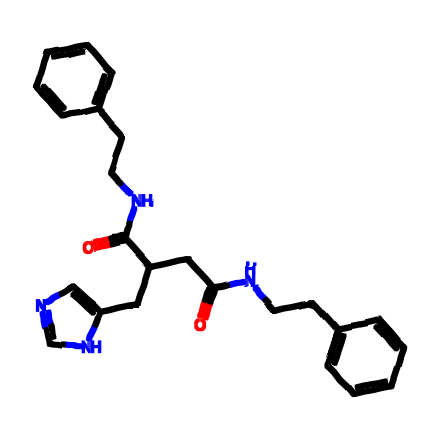 O=C(CC(Cc1cnc[nH]1)C(=O)NCCc1ccccc1)NCCc1ccccc1